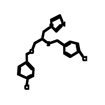 Clc1ccc(COCC(Cn2ccnc2)SCc2ccc(Cl)cc2)cc1